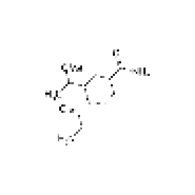 COC(C)C1CC(C(N)=O)CCN1C(=O)CN